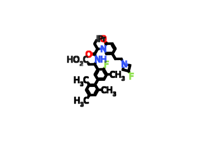 Cc1cc(C)c(-c2cc(C)c(F)c(C(CC(=O)O)NC(=O)C(CC(C)C)n3cc(CCN4CC(F)C4)ccc3=O)c2)c(C)c1